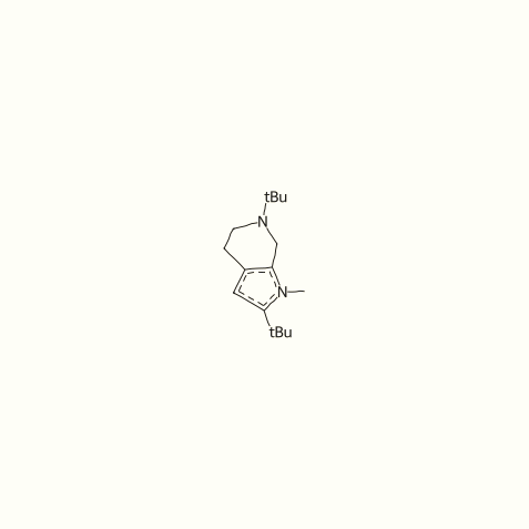 Cn1c(C(C)(C)C)cc2c1CN(C(C)(C)C)CC2